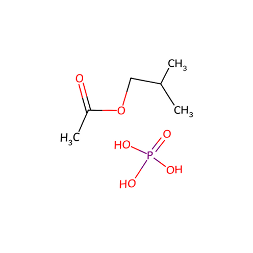 CC(=O)OCC(C)C.O=P(O)(O)O